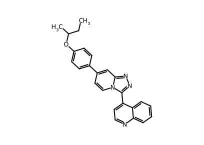 CCC(C)Oc1ccc(-c2ccn3c(-c4ccnc5ccccc45)nnc3c2)cc1